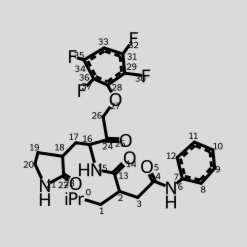 CC(C)CC(CC(=O)Nc1ccccc1)C(=O)NC(CC1CCNC1=O)C(=O)COc1c(F)c(F)cc(F)c1F